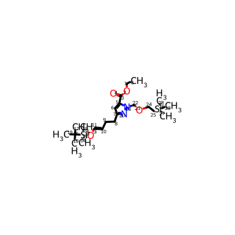 CCOC(=O)c1cc(CCC=CO[Si](C)(C)C(C)(C)C)nn1COCC[Si](C)(C)C